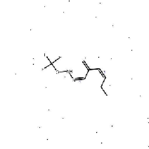 C=C(/C=C\CC)/C=N\NOC(F)(F)F